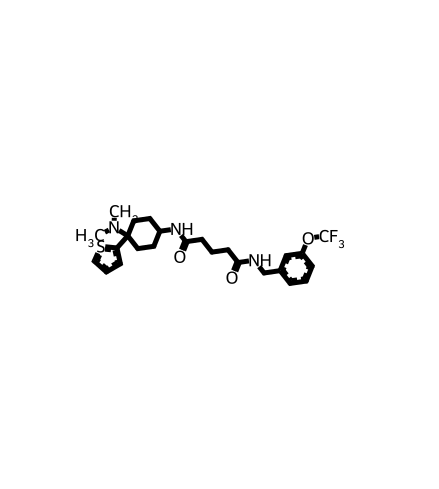 CN(C)C1(c2cccs2)CCC(NC(=O)CCCC(=O)NCc2cccc(OC(F)(F)F)c2)CC1